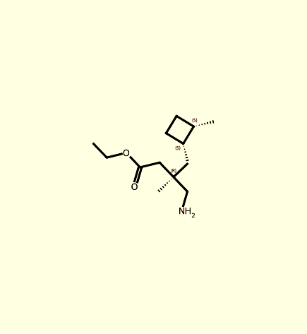 CCOC(=O)C[C@](C)(CN)C[C@@H]1CC[C@@H]1C